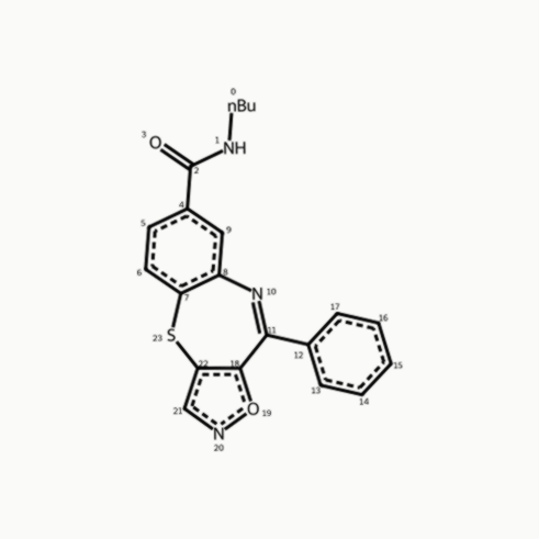 CCCCNC(=O)c1ccc2c(c1)N=C(c1ccccc1)c1oncc1S2